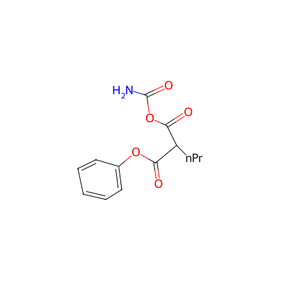 CCCC(C(=O)OC(N)=O)C(=O)Oc1ccccc1